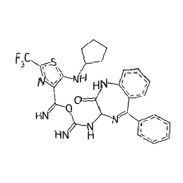 N=C(NC1N=C(c2ccccc2)c2ccccc2NC1=O)OC(=N)c1nc(C(F)(F)F)sc1NC1CCCC1